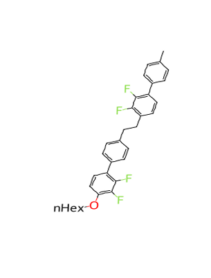 CCCCCCOc1ccc(-c2ccc(CCc3ccc(-c4ccc(C)cc4)c(F)c3F)cc2)c(F)c1F